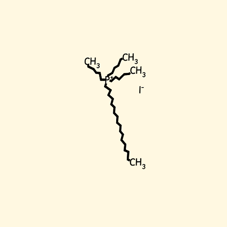 CCCCCCCCCCCCCCCCCC[P+](CCCCCC)(CCCCCC)CCCCCC.[I-]